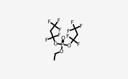 CCOP(=O)(OC(F)(F)CC(F)(F)F)OC(F)(F)CC(F)(F)F